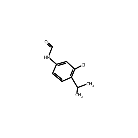 CC(C)c1ccc(NC=O)cc1Cl